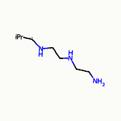 CC(C)[CH]NCCNCCN